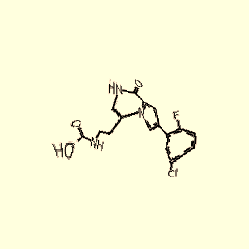 O=C(O)NCCC1CNC(=O)c2cc(-c3cc(Cl)ccc3F)cn21